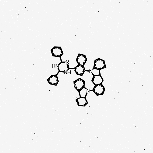 C1=CC2c3ccccc3N(c3cccc4c3C=C3C(C4)c4ccccc4N3c3ccc(C4=NC(c5ccccc5)NC(c5ccccc5)N4)c4ccccc34)C2C=C1